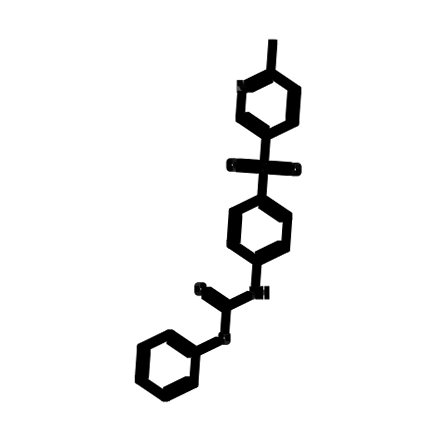 Cc1ccc(S(=O)(=O)c2ccc(NC(=O)Oc3ccccc3)cc2)cn1